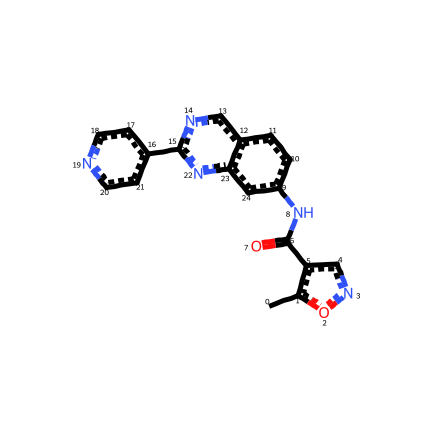 Cc1oncc1C(=O)Nc1ccc2cnc(-c3ccncc3)nc2c1